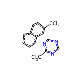 ClC(Cl)(Cl)c1ccc2ccccc2c1.ClC(Cl)(Cl)c1ncncn1